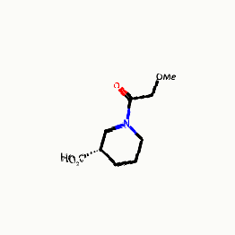 COCC(=O)N1CCC[C@H](C(=O)O)C1